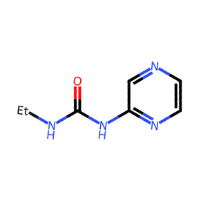 CCNC(=O)Nc1cnccn1